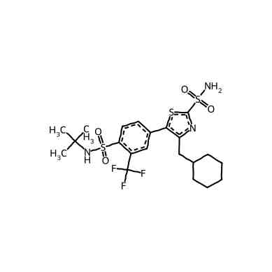 CC(C)(C)NS(=O)(=O)c1ccc(-c2sc(S(N)(=O)=O)nc2CC2CCCCC2)cc1C(F)(F)F